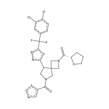 O=C(c1cncs1)N1CC(c2nnc(C(F)(F)c3ccc(Cl)c(Cl)c3)o2)C2(C1)CN(C(=O)[C@@H]1CCCO1)C2